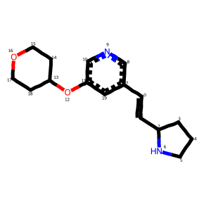 C(=CC1CCCN1)c1cncc(OC2CCOCC2)c1